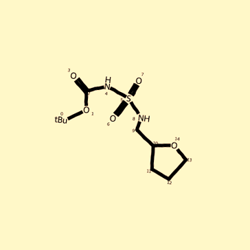 CC(C)(C)OC(=O)NS(=O)(=O)NCC1CCCO1